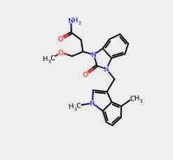 COCC(CC(N)=O)n1c(=O)n(Cc2cn(C)c3cccc(C)c23)c2ccccc21